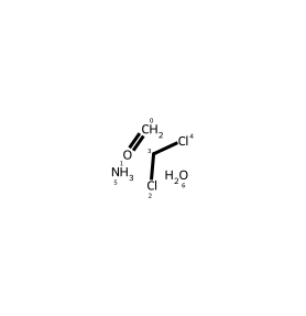 C=O.ClCCl.N.O